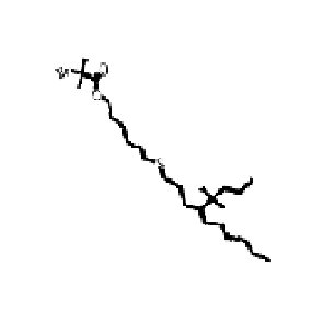 CCCCCCC(CCCSCCCCCCOC(=O)C(C)(C)Br)C(C)(C)CCC